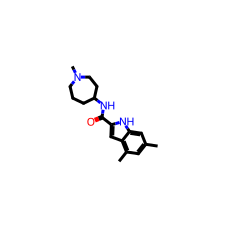 Cc1cc(C)c2cc(C(=O)NC3CCCN(C)CC3)[nH]c2c1